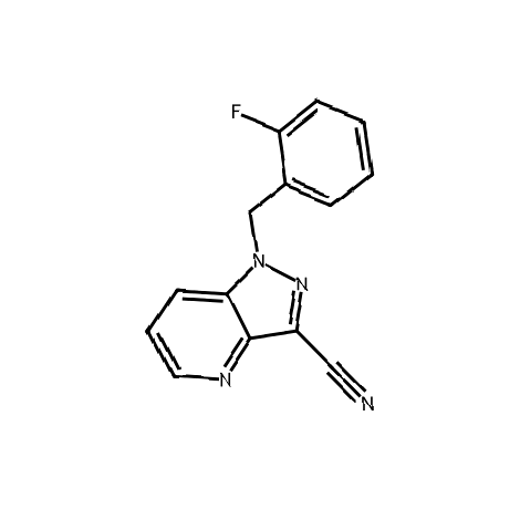 N#Cc1nn(Cc2ccccc2F)c2cccnc12